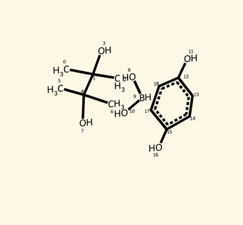 CC(C)(O)C(C)(C)O.OBO.Oc1ccc(O)cc1